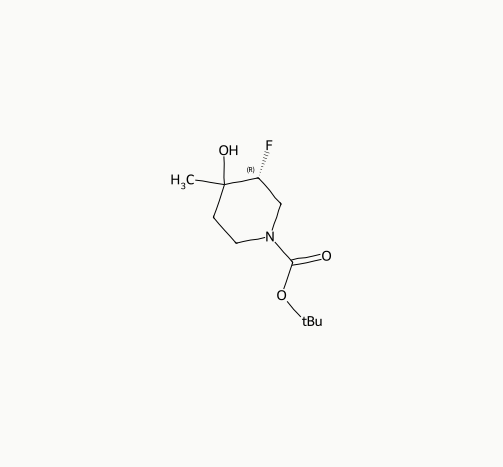 CC(C)(C)OC(=O)N1CCC(C)(O)[C@H](F)C1